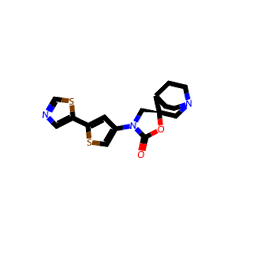 O=C1O[C@]2(CN3CCC2CC3)CN1c1csc(-c2cncs2)c1